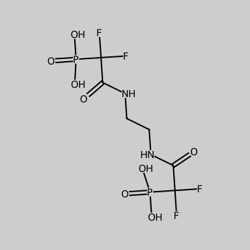 O=C(NCCNC(=O)C(F)(F)P(=O)(O)O)C(F)(F)P(=O)(O)O